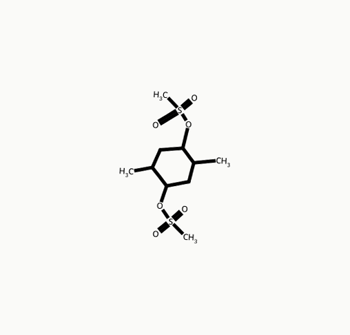 CC1CC(OS(C)(=O)=O)C(C)CC1OS(C)(=O)=O